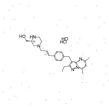 CCc1nn2c(C)cc(C)nc2c1Cc1ccc(/C=C/CN2CCN[C@H](CO)C2)cc1.Cl.Cl